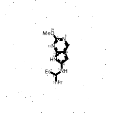 CCCC(CC)Nc1cc2cnc(OC)nc2[nH]1